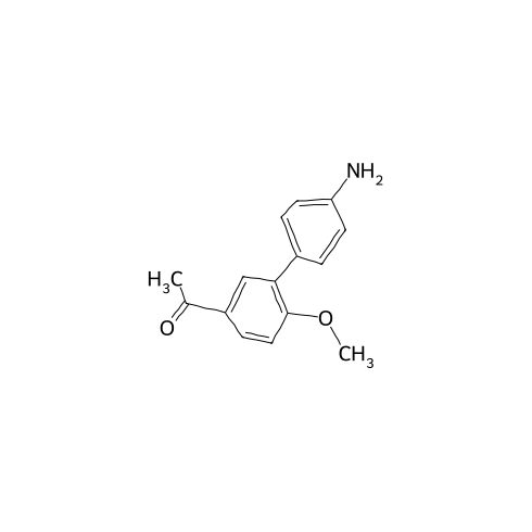 COc1ccc(C(C)=O)cc1-c1ccc(N)cc1